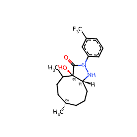 CC1CC[C@@H](C)CCC[C@H]2NN(c3cccc(C(F)(F)F)c3)C(=O)[C@@]12O